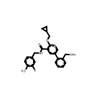 COCc1ccccc1-c1cnc(OCC2CC2)c(C(=O)NCc2ccc(C)c(F)c2)c1